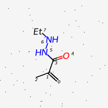 C=C(C)C(=O)NNCC